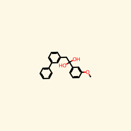 COc1cccc(C(O)(O)Cc2cccc(-c3ccccc3)c2)c1